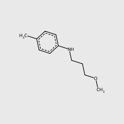 COCCCNc1ccc(C)cc1